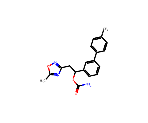 Cc1nc(CC(OC(N)=O)c2cccc(-c3ccc(C(F)(F)F)cc3)c2)no1